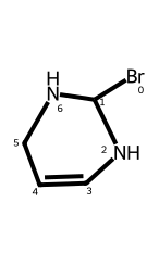 BrC1NC=CCN1